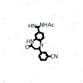 CC(=O)NC(=N)c1ccc2c(c1)NC(=O)CC(c1cccc(C#N)c1)=N2